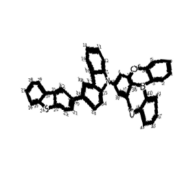 c1ccc2c(c1)Oc1cc(-n3c4ccccc4c4cc(-c5ccc6sc7ccccc7c6c5)ccc43)cc3c1B2c1ccccc1O3